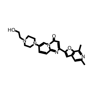 Cc1cc2cc(-c3cc(=O)n4cc(N5CCN(CCO)CC5)ccc4n3)oc2c(C)n1